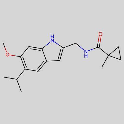 COc1cc2[nH]c(CNC(=O)C3(C)CC3)cc2cc1C(C)C